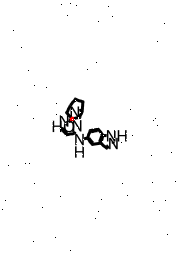 OC1CC2CCC(C1)N2c1nccc(Nc2ccc3[nH]ncc3c2)n1